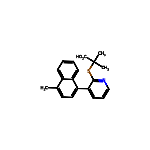 Cc1ccc(-c2cccnc2SC(C)(C)C(=O)O)c2ccccc12